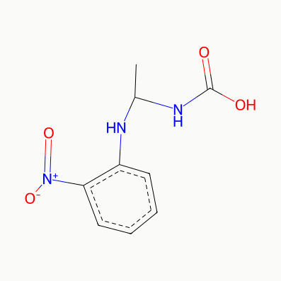 CC(NC(=O)O)Nc1ccccc1[N+](=O)[O-]